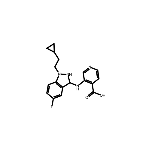 O=C(O)c1ccncc1NC1NN(CCC2CC2)c2ccc(F)cc21